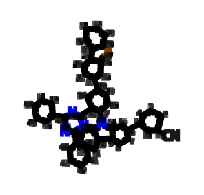 N#Cc1cccc(-c2ccc3c4ccccc4n(-c4ccc(-c5ccc6c(c5)sc5ccccc56)cc4-c4nc(-c5ccccc5)nc(-c5ccccc5)n4)c3c2)c1